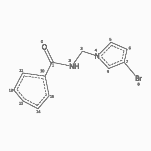 O=C(NCn1ccc(Br)c1)c1ccccc1